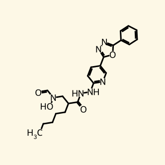 CCCCCC(CN(O)C=O)C(=O)NNc1ccc(-c2nnc(-c3ccccc3)o2)cn1